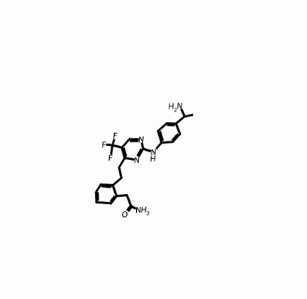 CC(N)c1ccc(Nc2ncc(C(F)(F)F)c(CCc3ccccc3CC(N)=O)n2)cc1